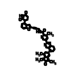 Cc1cc(-c2ncc3c(n2)CCCN3c2cc(C)c3c(c2)n(C)c(=O)n3C)cnc1C(=O)NCC#Cc1cc2c(C3CCC(=O)NC3=O)cccc2o1